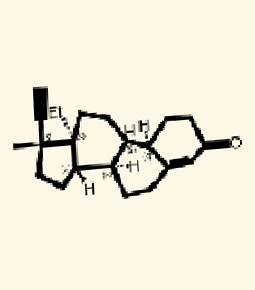 C#C[C@@]1(C)CC[C@H]2[C@@H]3CCC4=CC(=O)CC[C@@H]4[C@H]3CC[C@@]21CC